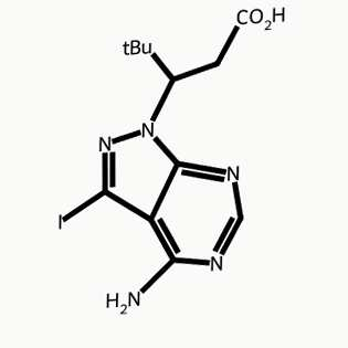 CC(C)(C)C(CC(=O)O)n1nc(I)c2c(N)ncnc21